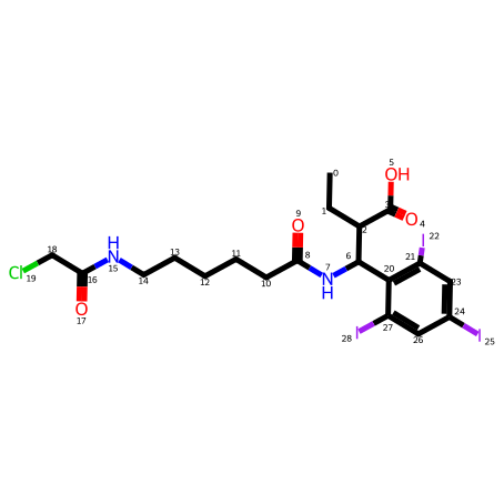 CCC(C(=O)O)C(NC(=O)CCCCCNC(=O)CCl)c1c(I)cc(I)cc1I